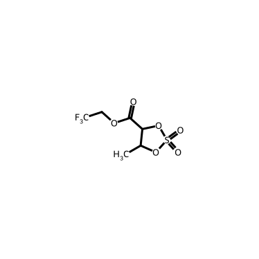 CC1OS(=O)(=O)OC1C(=O)OCC(F)(F)F